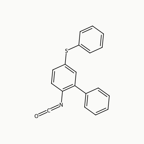 O=C=Nc1ccc(Sc2ccccc2)cc1-c1ccccc1